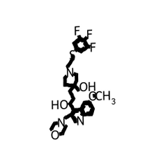 COc1ccc2ncc(CN3CCOCC3)c([C@@H](O)CCC3(CO)CCN(CCSc4cc(F)c(F)c(F)c4)CC3)c2c1